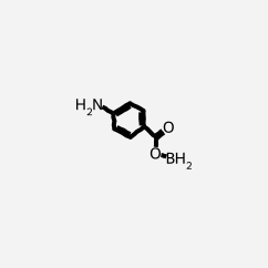 BOC(=O)c1ccc(N)cc1